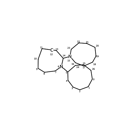 C1CCCCC(N2CCCCCCCC2N2CCCCCCCC2)CCC1